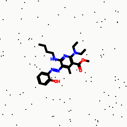 CCCCNc1nc(N(CC)CC)c(C(=O)OC)c(C)c1N=Nc1ccccc1O